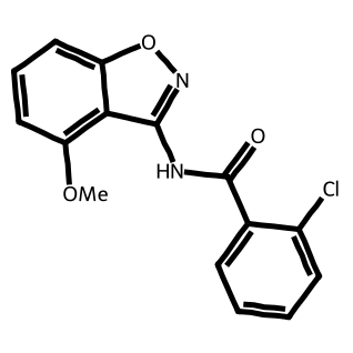 COc1cccc2onc(NC(=O)c3ccccc3Cl)c12